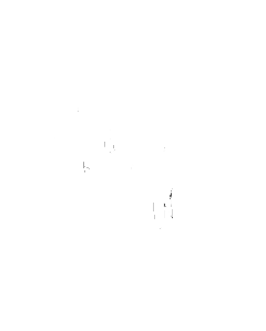 CC[C@@H](N)CCOC1(F)CC1